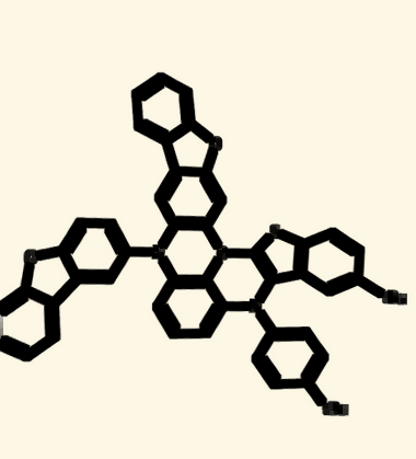 CC(C)(C)c1ccc(N2c3cccc4c3B(c3cc5oc6ccccc6c5cc3N4c3ccc4oc5ccccc5c4c3)c3sc4ccc(C(C)(C)C)cc4c32)cc1